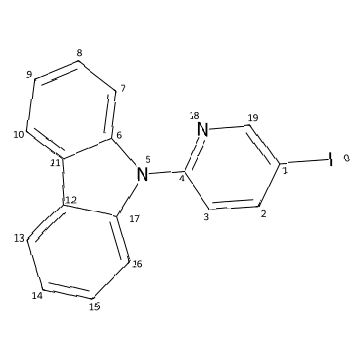 Ic1ccc(-n2c3ccccc3c3ccccc32)nc1